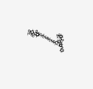 O=C1CCC(N2C(=O)c3ccc(OCCOCCOCCOCCOCC4CCC(n5c(NC(=O)c6cccc(C(F)(F)F)c6)nc6cc(CN7CCCCC7)ccc65)CC4)cc3C2=O)C(=O)N1